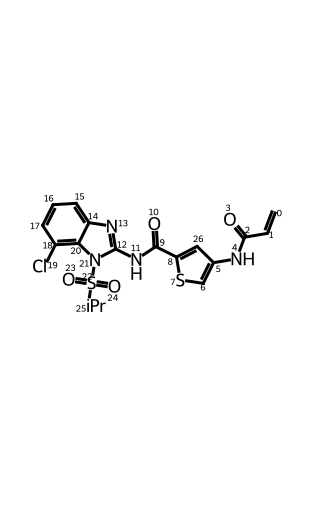 C=CC(=O)Nc1csc(C(=O)Nc2nc3cccc(Cl)c3n2S(=O)(=O)C(C)C)c1